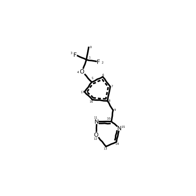 CC(F)(F)Oc1ccc(CC2=NOCC=N2)cc1